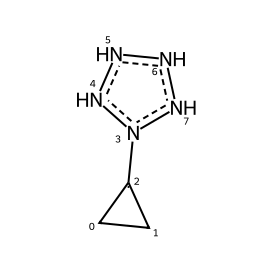 C1C[C]1n1[nH][nH][nH][nH]1